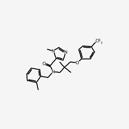 Cc1ccccc1CN(CC(C)(C)COc1ccc(C(F)(F)F)cc1)C(=O)c1cncn1C